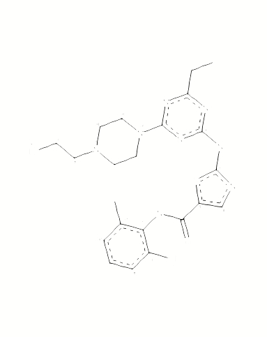 CCc1nc(Nc2ncc(C(=O)Nc3c(C)cccc3Cl)s2)nc(N2CCN(CCO)CC2)n1